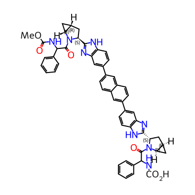 COC(=O)NC(C(=O)N1[C@@H]2C[C@@H]2C[C@H]1c1nc2cc(-c3ccc4cc(-c5ccc6[nH]c([C@@H]7C[C@H]8C[C@H]8N7C(=O)C(NC(=O)O)c7ccccc7)nc6c5)ccc4c3)ccc2[nH]1)c1ccccc1